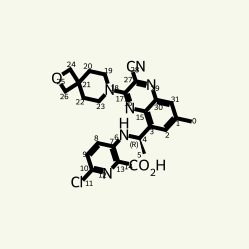 Cc1cc([C@@H](C)Nc2ccc(Cl)nc2C(=O)O)c2nc(N3CCC4(CC3)COC4)c(C#N)nc2c1